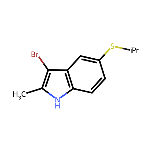 Cc1[nH]c2ccc(SC(C)C)cc2c1Br